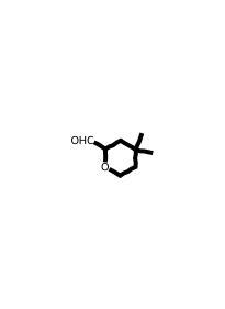 CC1(C)CCOC(C=O)C1